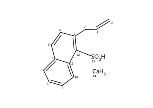 C=CCc1ccc2ccccc2c1S(=O)(=O)O.[CaH2]